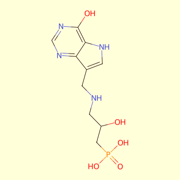 O=P(O)(O)CC(O)CNCc1c[nH]c2c(O)ncnc12